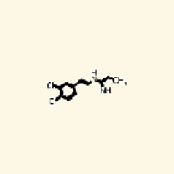 CCC(=N)NC=Cc1ccc(Cl)c(Cl)c1